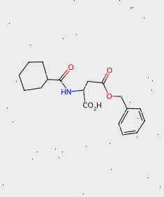 O=C(CC(NC(=O)C1CCCCC1)C(=O)O)OCc1ccccc1